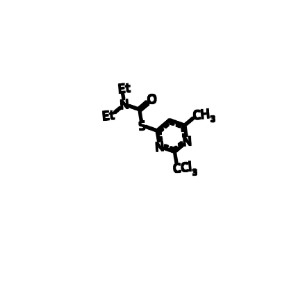 CCN(CC)C(=O)Sc1cc(C)nc(C(Cl)(Cl)Cl)n1